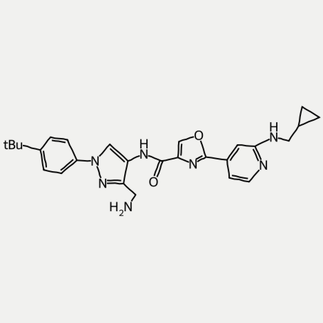 CC(C)(C)c1ccc(-n2cc(NC(=O)c3coc(-c4ccnc(NCC5CC5)c4)n3)c(CN)n2)cc1